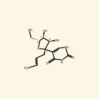 NC=CC[C@@]1(c2c[nH]c(=O)[nH]c2=O)O[C@H](CO)[C@@H](O)[C@H]1O